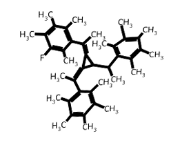 C/C(=C1/C(=C(\C)c2c(C)c(C)c(C)c(C)c2C)C1C(C)c1c(C)c(C)c(C)c(C)c1C)c1c(C)c(C)c(C)c(F)c1C